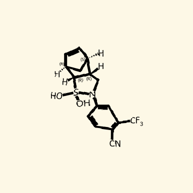 N#Cc1ccc(N2C[C@@H]3[C@@H]([C@H]4C=C[C@@H]3C4)S2(O)O)cc1C(F)(F)F